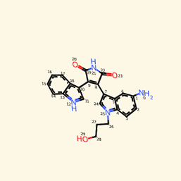 Nc1ccc2c(c1)c(C1=C(c3c[nH]c4ccccc34)C(=O)NC1=O)cn2CCCO